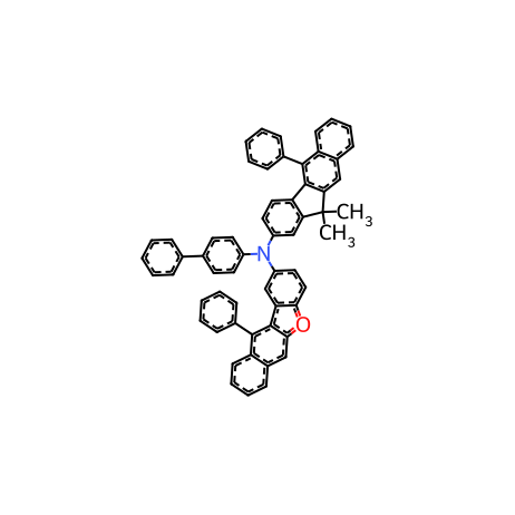 CC1(C)c2cc(N(c3ccc(-c4ccccc4)cc3)c3ccc4oc5cc6ccccc6c(-c6ccccc6)c5c4c3)ccc2-c2c1cc1ccccc1c2-c1ccccc1